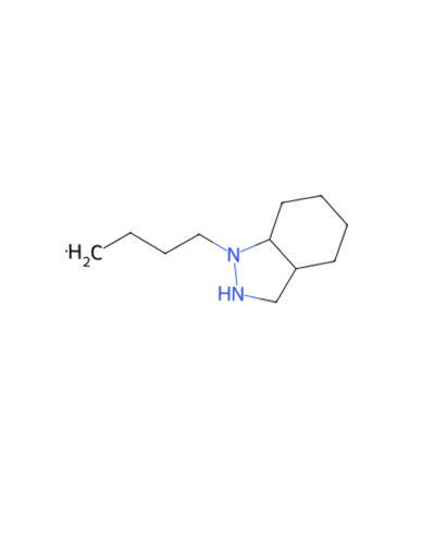 [CH2]CCCN1NCC2CCCCC21